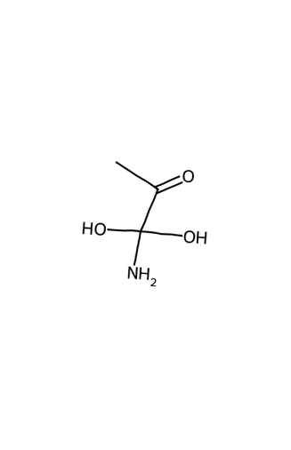 CC(=O)C(N)(O)O